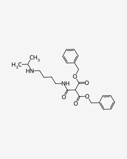 CC(C)NCCCCNC(=O)C(C(=O)OCc1ccccc1)C(=O)OCc1ccccc1